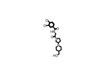 O=C(NCC(=O)N1CCC(N2CCC(CO)CC2)C1)c1ccc(Cl)c(Cl)c1